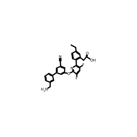 CCc1ccc(-c2nc(Oc3cc(C#N)cc(-c4cccc(CN)c4)c3)c(F)cc2F)c(CC(=O)O)c1